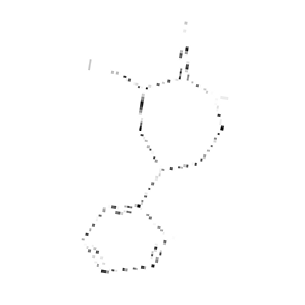 NC1CC(c2ccccc2)CCNC1=O